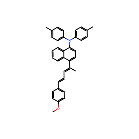 COc1ccc(C=CC=C(C)c2ccc(N(c3ccc(C)cc3)c3ccc(C)cc3)c3ccccc23)cc1